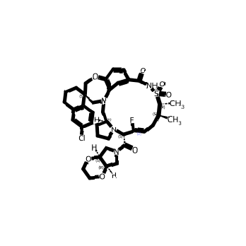 C[C@@H]1[C@@H](C)C/C=C(\F)[C@H](C(=O)N2C[C@@H]3OCCO[C@@H]3C2)N2CCC[C@H]2CN2C[C@@]3(CCCc4cc(Cl)ccc43)COc3ccc(cc32)C(=O)NS1(=O)=O